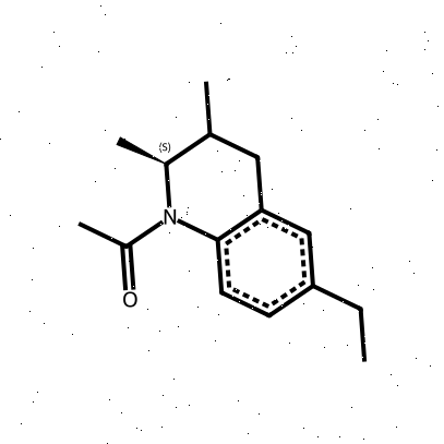 CCc1ccc2c(c1)CC(C)[C@H](C)N2C(C)=O